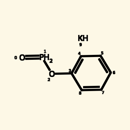 O=[PH2]Oc1ccccc1.[KH]